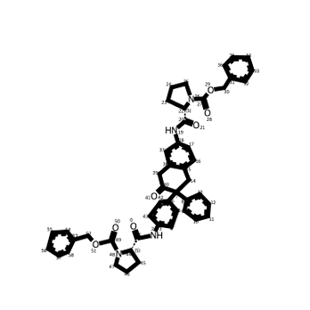 O=C(Nc1ccc(C2(c3ccccc3)Cc3ccc(NC(=O)[C@@H]4CCCN4C(=O)OCc4ccccc4)cc3CC2=O)cc1)[C@@H]1CCCN1C(=O)OCc1ccccc1